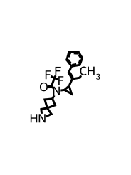 CCC(=Cc1ccccc1)C1CC1N(C(=O)C(F)(F)F)C1CC2(CNC2)C1